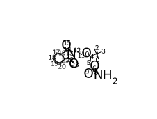 CC(C)(C)C(COC(N)=O)OCCN1C(=O)c2ccccc2C1=O